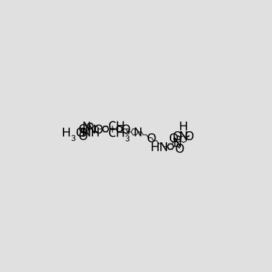 CC(C)(c1ccc(OCc2ccnc(NS(C)(=O)=O)n2)cc1)c1ccc(OCC2CCN(CCCCOCCCCNc3ccc4c(c3)C(=O)N(C3CCC(=O)NC3=O)C4=O)CC2)cc1